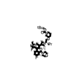 Cc1nc(F)c2c(-c3ccc(F)cc3C(=O)N3CCOC[C@H]3C)cc(C3CN([C@H](CO[C@H]4CCCN(C(=O)OC(C)(C)C)C4)C(C)C)C3)cn12